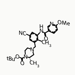 COc1ccc(C(=O)Nc2cc(C#N)cc(CN3CCN(C(=O)OC(C)(C)C)[C@@H](C)C3)c2C)cn1